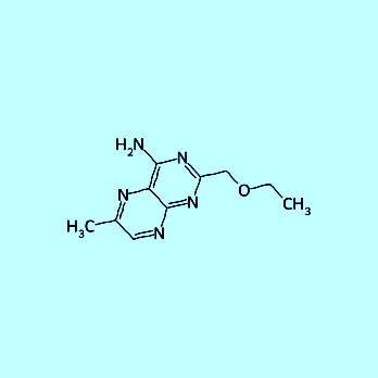 CCOCc1nc(N)c2nc(C)cnc2n1